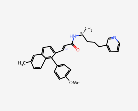 COc1ccc(-c2c(/C=C/C(=O)N[C@H](C)CCCc3cccnc3)ccc3cc(C)ccc23)cc1